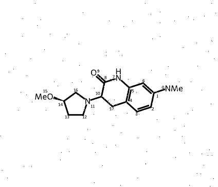 CNc1ccc2c(c1)NC(=O)C(N1CC[C@@H](OC)C1)C2